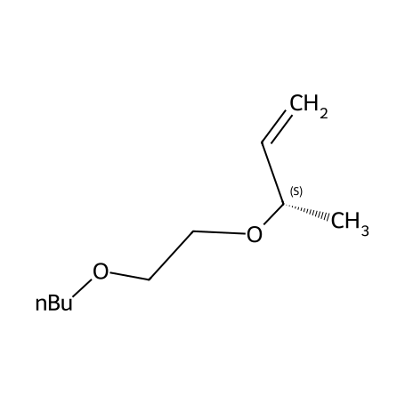 C=C[C@H](C)OCCOCCCC